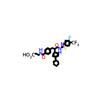 O=C(O)CCNC(=O)c1ccc(CC(C(=O)Nc2nc3cc(F)c(C(F)(F)F)cc3s2)c2ccc(C3=CCCCC3)cc2)cc1